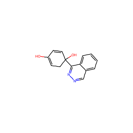 OC1=CCC(O)(c2nncc3ccccc23)C=C1